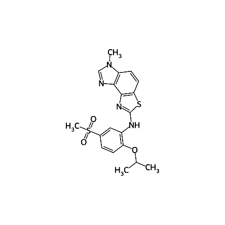 CC(C)Oc1ccc(S(C)(=O)=O)cc1Nc1nc2c(ccc3c2ncn3C)s1